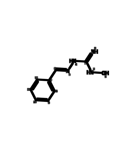 N=C(NO)NN=Cc1ccccc1